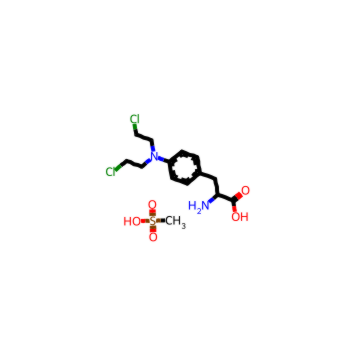 CS(=O)(=O)O.NC(Cc1ccc(N(CCCl)CCCl)cc1)C(=O)O